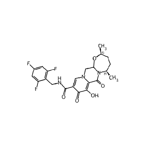 C[C@@H]1CC[C@H](C)OC2Cn3cc(C(=O)NCc4c(F)cc(F)cc4F)c(=O)c(O)c3C(=O)N21